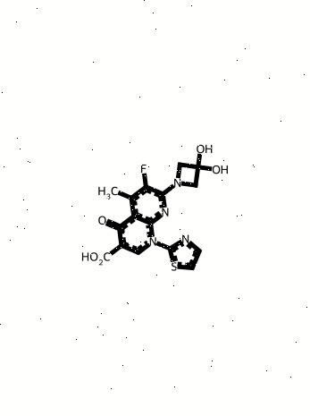 Cc1c(F)c(N2CC(O)(O)C2)nc2c1c(=O)c(C(=O)O)cn2-c1nccs1